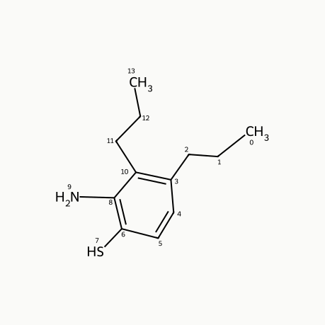 CCCc1ccc(S)c(N)c1CCC